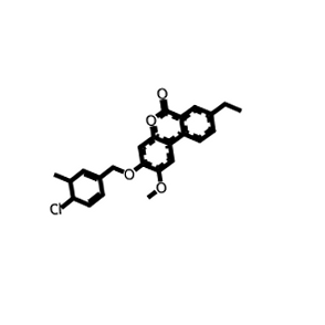 CCc1ccc2c(c1)c(=O)oc1cc(OCC3=CC(C)C(Cl)C=C3)c(OC)cc12